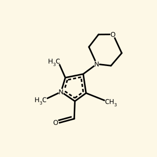 Cc1c(N2CCOCC2)c(C)n(C)c1C=O